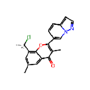 Cc1cc([C@H](C)Cl)c2oc(-c3ccc4ccnn4c3)c(C)c(=O)c2c1